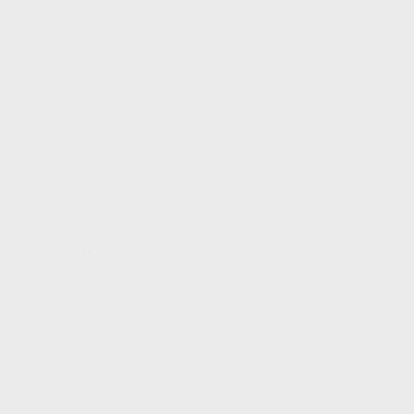 CCCCCCCCc1ccc(-c2ccc(Br)c(F)c2)cc1